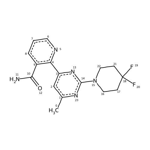 Cc1cc(-c2ncccc2C(N)=O)nc(N2CCC(F)(F)CC2)n1